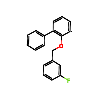 Fc1cccc(COc2[c]cccc2-c2ccccc2)c1